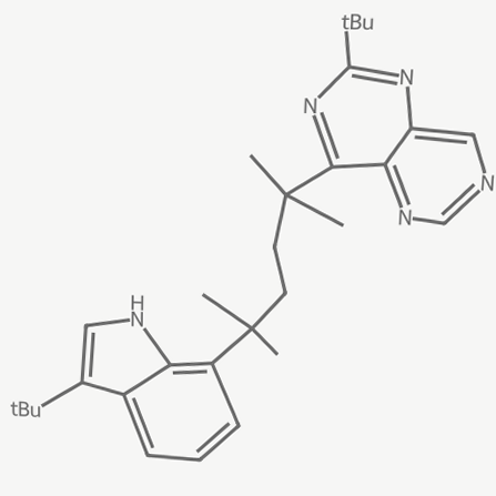 CC(C)(C)c1nc(C(C)(C)CCC(C)(C)c2cccc3c(C(C)(C)C)c[nH]c23)c2ncncc2n1